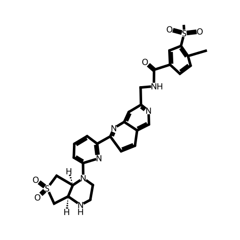 Cc1ccc(C(=O)NCc2cc3nc(-c4cccc(N5CCN[C@H]6CS(=O)(=O)C[C@H]65)n4)ccc3cn2)cc1S(C)(=O)=O